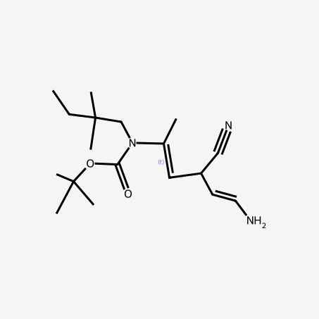 CCC(C)(C)CN(C(=O)OC(C)(C)C)/C(C)=C/C(C#N)C=CN